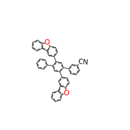 N#Cc1cccc(-c2cc(-c3ccc4oc5ccccc5c4c3)c(-c3ccccc3)cc2-c2ccc3oc4ccccc4c3c2)c1